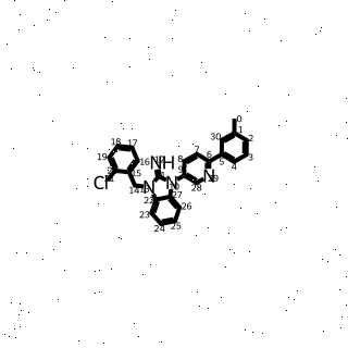 Cc1cccc(-c2ccc(-n3c(=N)n(Cc4ccccc4Cl)c4ccccc43)cn2)c1